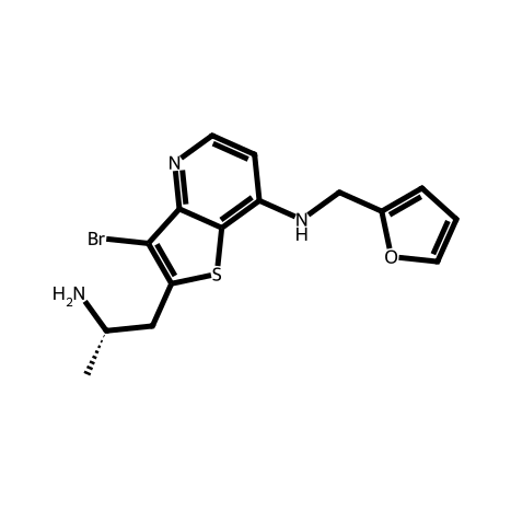 C[C@H](N)Cc1sc2c(NCc3ccco3)ccnc2c1Br